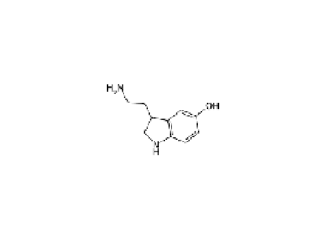 NCCC1CNc2ccc(O)cc21